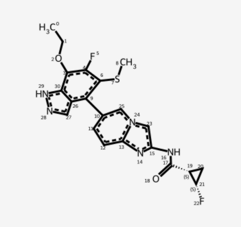 CCOc1c(F)c(SC)c(-c2ccc3nc(NC(=O)[C@@H]4C[C@@H]4F)cn3c2)c2cn[nH]c12